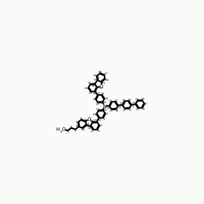 CCCCc1ccc2oc3c(-c4ccc(N(c5ccc(-c6ccc(-c7ccccc7)cc6)cc5)c5ccc(-c6cccc7c6oc6ccccc67)cc5)cc4)cccc3c2c1